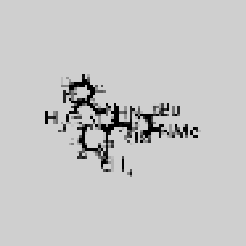 CNC(=O)C(NC(=O)c1nc(-c2cccnc2C)n2c1CN(C)CCC2)C(C)(C)C